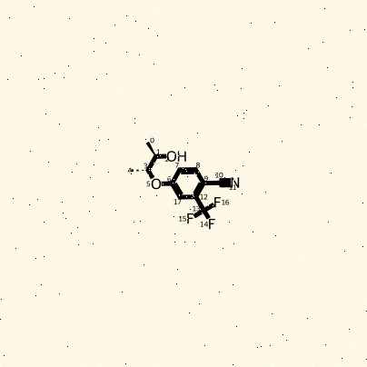 C[C@@H](O)[C@@H](C)Oc1ccc(C#N)c(C(F)(F)F)c1